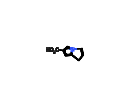 O=C(O)c1cc2n(c1)C=CC2